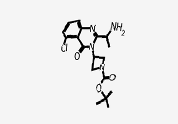 CC(N)c1nc2cccc(Cl)c2c(=O)n1C1CN(C(=O)OC(C)(C)C)C1